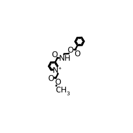 CCOC(=O)C[n+]1cccc(C(=O)NCCOC(=O)c2ccccc2)c1